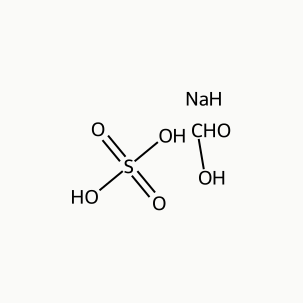 O=CO.O=S(=O)(O)O.[NaH]